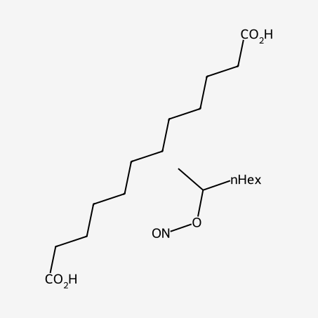 CCCCCCC(C)ON=O.O=C(O)CCCCCCCCCCC(=O)O